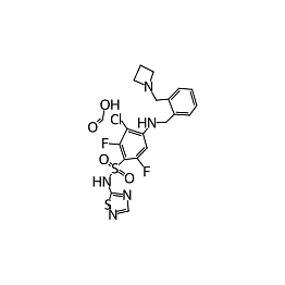 O=CO.O=S(=O)(Nc1ncns1)c1c(F)cc(NCc2ccccc2CN2CCC2)c(Cl)c1F